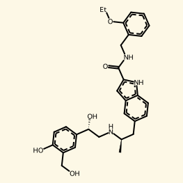 CCOc1ccccc1CNC(=O)c1cc2cc(C[C@@H](C)NC[C@@H](O)c3ccc(O)c(CO)c3)ccc2[nH]1